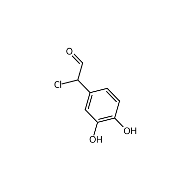 O=CC(Cl)c1ccc(O)c(O)c1